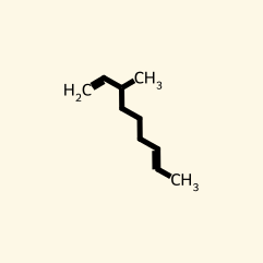 C=CC(C)CCCC=CC